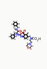 Cc1c(CN(CCN2CCOCC2)C(=O)O)ccc2nc(N[C@@H](Cc3ccccc3)C(=O)N(C)Cc3ccccc3)oc(=O)c12